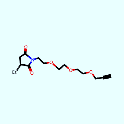 C#CCOCCOCCOCCN1C(=O)CC(CC)C1=O